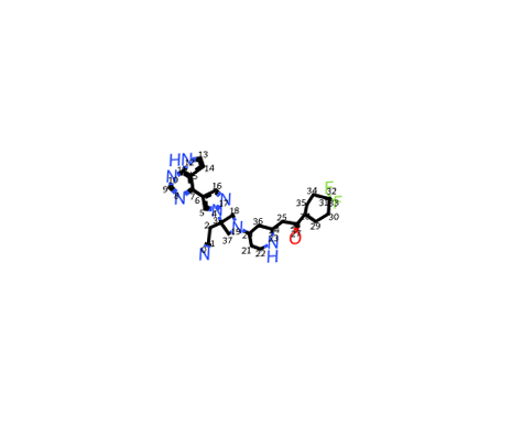 N#CCC1(n2cc(-c3ncnc4[nH]ccc34)cn2)CN(C2CCNC(CC(=O)C3CCC(F)(F)CC3)C2)C1